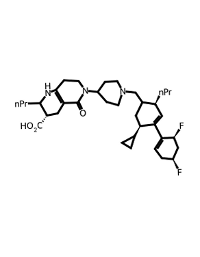 CCCC1NC2=C(C[C@@H]1C(=O)O)C(=O)N(C1CCN(CC3C[C@H](C4CC4)C(C4=CC[C@H](F)C[C@@H]4F)=C[C@@H]3CCC)CC1)CC2